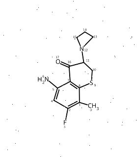 Cc1c(F)cc(N)c2c1SCC(N1CCC1)C2=O